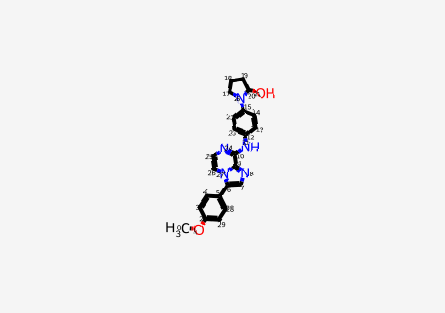 COc1ccc(-c2cnc3c(Nc4ccc(N5CCCC5O)cc4)nccn23)cc1